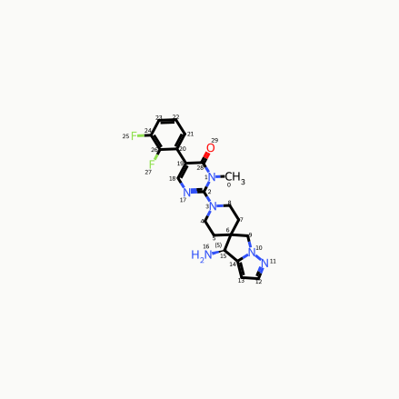 Cn1c(N2CCC3(CC2)Cn2nccc2[C@H]3N)ncc(-c2cccc(F)c2F)c1=O